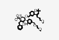 COCCCC1=CC(C)(C)Oc2ccc(CO[C@H]3CN(C(=O)O)C(Cc4ccccc4)[C@@H](O)[C@@H]3c3ccc(COCCOC)cc3)cc21